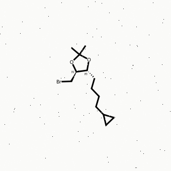 CC1(C)O[C@H](CBr)[C@@H](CCCCC2CC2)O1